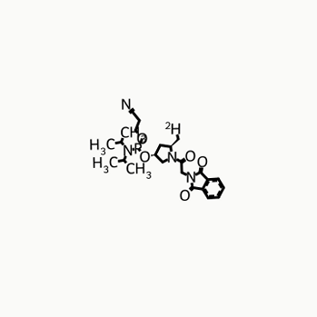 [2H]C[C@@H]1C[C@@H](OP(OCCC#N)N(C(C)C)C(C)C)CN1C(=O)CN1C(=O)c2ccccc2C1=O